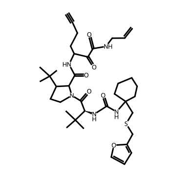 C#CCCC(NC(=O)C1C(C(C)(C)C)CCN1C(=O)[C@@H](NC(=O)NC1(CSCc2ccco2)CCCCC1)C(C)(C)C)C(=O)C(=O)NCC=C